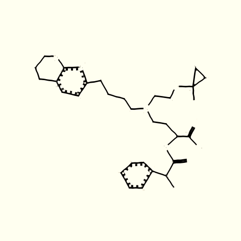 CC(C(=O)NC(CCN(CCCCc1ccc2c(n1)NCCC2)CCOC1(C)CC1)C(=O)O)c1ccccc1